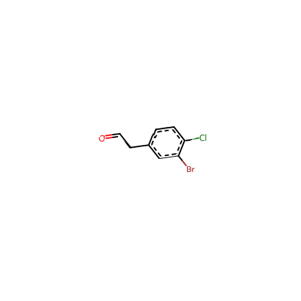 O=CCc1ccc(Cl)c(Br)c1